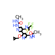 CCNC(=O)Nc1cc(-c2nc(C(F)(F)F)cs2)c(-c2cc(-c3nnc(C)o3)cnc2OCC2CC2)cn1